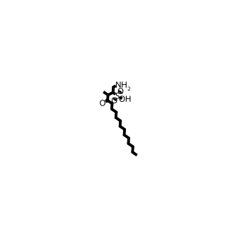 CCCCCCCCCCCCCC(=O)C(C)C(CN)S(=O)(=O)O